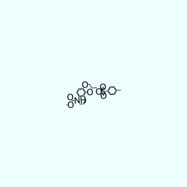 C/C=C\c1c(NC(=O)OC)ccc2c1OC(COS(=O)(=O)c1ccc(C)cc1)CO2